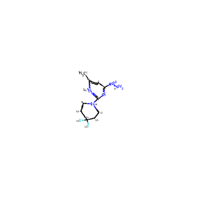 Cc1cc(NN)nc(N2CCC(F)(F)CC2)n1